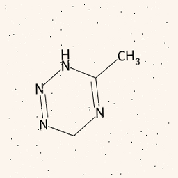 CC1=NCN=NN1